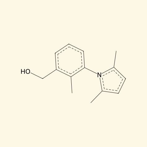 Cc1c(CO)cccc1-n1c(C)ccc1C